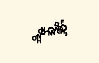 CN(c1ccc(-c2cc(NC=O)on2)nn1)C1(c2ncccc2F)CCC1